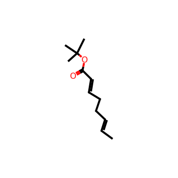 C/C=C/CC/C=C/C(=O)OC(C)(C)C